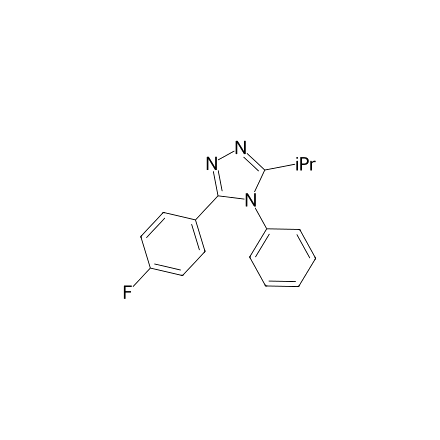 CC(C)c1nnc(-c2ccc(F)cc2)n1-c1ccccc1